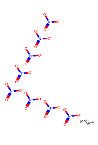 O=[N+]([O-])[O-].O=[N+]([O-])[O-].O=[N+]([O-])[O-].O=[N+]([O-])[O-].O=[N+]([O-])[O-].O=[N+]([O-])[O-].O=[N+]([O-])[O-].O=[N+]([O-])[O-].[Mo+4].[Mo+4]